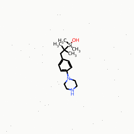 CC(C)(Cc1ccc(N2CCNCC2)cc1)[Si](C)(C)O